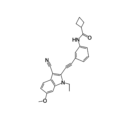 CCn1c(C#Cc2cccc(NC(=O)C3CCC3)c2)c(C#N)c2ccc(OC)cc21